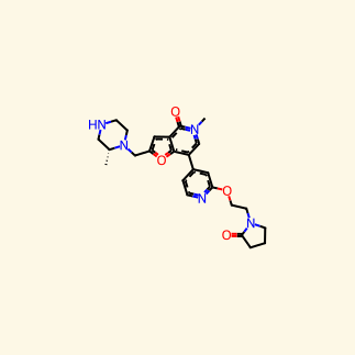 C[C@@H]1CNCCN1Cc1cc2c(=O)n(C)cc(-c3ccnc(OCCN4CCCC4=O)c3)c2o1